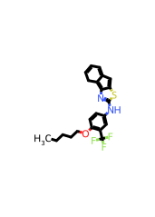 CCCCCOc1ccc(Nc2nc3c(s2)=CC2=CC=CCC=32)cc1C(F)(F)F